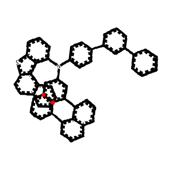 c1ccc(-c2cccc(-c3ccc(N(c4cccc(-c5cccc6cccc(-c7ccccc7)c56)c4)c4cccc5sc6ccc7ccccc7c6c45)cc3)c2)cc1